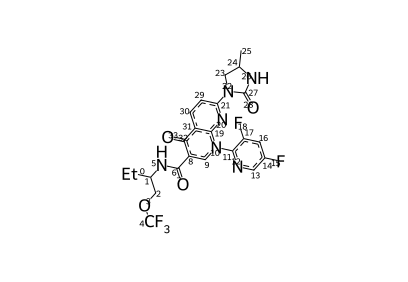 CCC(COC(F)(F)F)NC(=O)c1cn(-c2ncc(F)cc2F)c2nc(N3CC(C)NC3=O)ccc2c1=O